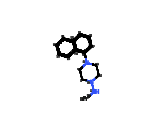 CCCNN1CCN(c2cccc3ccccc23)CC1